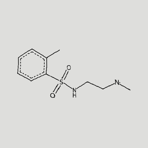 C[N]CCNS(=O)(=O)c1ccccc1C